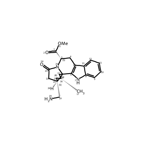 COC(=O)[C@@H]1Cc2c([nH]c3ccccc23)C23C[C@H](C)[C@@H](CN)[C@@H]2CC(=O)N13